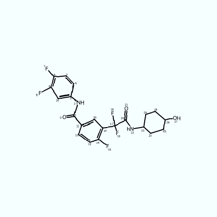 O=C(Nc1ccc(F)c(F)c1)c1ccc(F)c(C(F)(F)C(=O)NC2CCC(O)CC2)c1